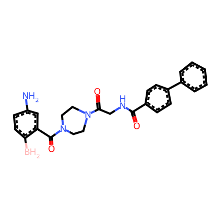 Bc1ccc(N)cc1C(=O)N1CCN(C(=O)CNC(=O)c2ccc(-c3ccccc3)cc2)CC1